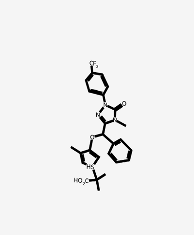 CC1=C[SH](C(C)(C)C(=O)O)C=C1OC(c1ccccc1)c1nn(-c2ccc(C(F)(F)F)cc2)c(=O)n1C